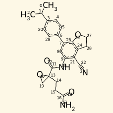 CC(C)c1ccc(-c2cc(NC(=O)C3(CCC(N)=O)CO3)c(C#N)c3c2OCC3)cc1